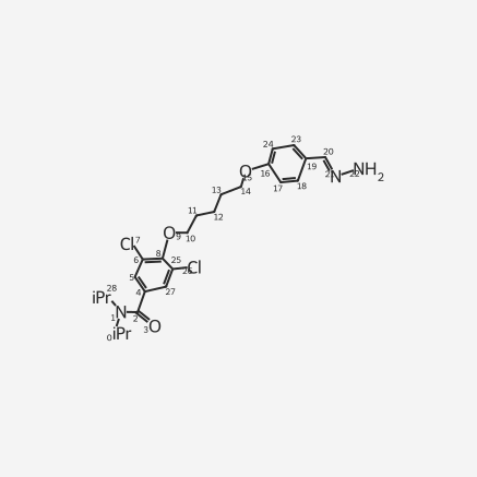 CC(C)N(C(=O)c1cc(Cl)c(OCCCCCOc2ccc(C=NN)cc2)c(Cl)c1)C(C)C